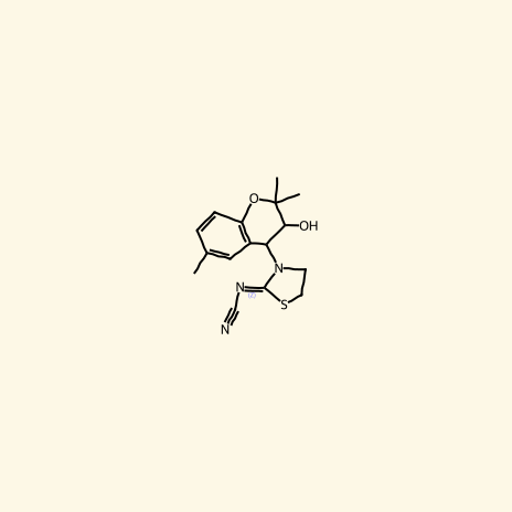 Cc1ccc2c(c1)C(N1CCS/C1=N\C#N)C(O)C(C)(C)O2